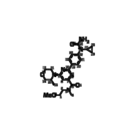 COCCN(C)C(=O)c1cc(N2CCOC[C@@H]2C)nc(-c2ccc(N(C(N)=O)C3CC3)cc2)n1